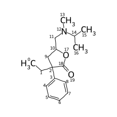 CCC1(c2ccccc2)CC(CN(C)C(C)C)OC1=O